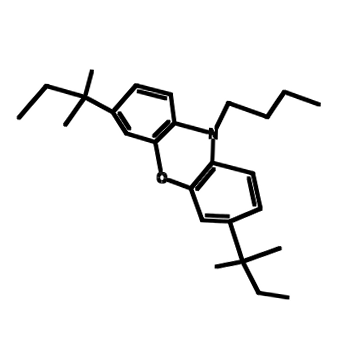 CCCCN1c2ccc(C(C)(C)CC)cc2Oc2cc(C(C)(C)CC)ccc21